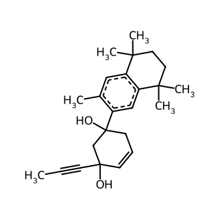 CC#CC1(O)C=CCC(O)(c2cc3c(cc2C)C(C)(C)CCC3(C)C)C1